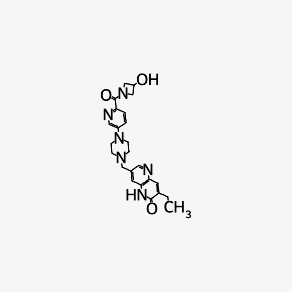 CCc1cc2ncc(CN3CCN(c4ccc(C(=O)N5CC(O)C5)nc4)CC3)cc2[nH]c1=O